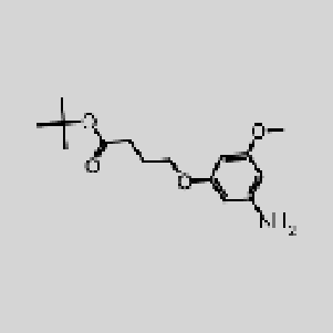 COc1cc(N)cc(OCCCC(=O)OC(C)(C)C)c1